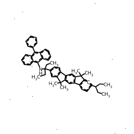 CCC(CC)c1ccc2c(c1)C(C)(C)c1cc3c(cc1-2)C(C)(C)c1cc(C(CC)(CC)Nc2c4ccccc4c(-c4ccccc4)c4ccccc24)ccc1-3